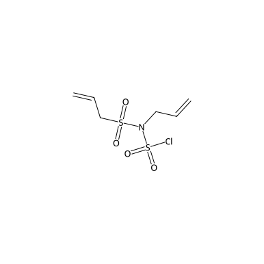 C=CCN(S(=O)(=O)Cl)S(=O)(=O)CC=C